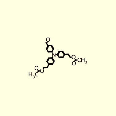 CC(=O)OCCc1ccc(N(c2ccc(C=O)cc2)c2ccc(CCOC(C)=O)cc2)cc1